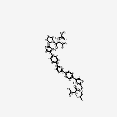 CCCN(Cc1ncc(-c2ccc(-c3ncc(-c4ccc(-c5cnc([C@@H]6CCCN6C(=O)[C@@H](NC(=O)OC)C(C)C)[nH]5)cc4)s3)cc2)[nH]1)C(=O)[C@@H](C)C(C)C